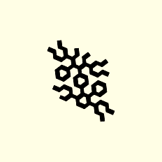 C=CC=C(/C=C\C=C)/C(C=C)=C(/C(=C(C=C)/C(/C=C\C=C)=C/C=C)c1ccccc1)c1ccc(-c2c(C(/C=C\C=C)=C/C)ccc(C(/C=C\C=C)=C/C=C)c2-c2ccccc2)cc1